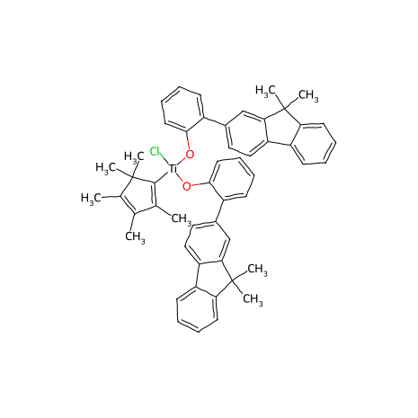 CC1=C(C)C(C)(C)[C]([Ti]([Cl])([O]c2ccccc2-c2ccc3c(c2)C(C)(C)c2ccccc2-3)[O]c2ccccc2-c2ccc3c(c2)C(C)(C)c2ccccc2-3)=C1C